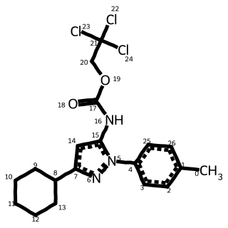 Cc1ccc(-n2nc(C3CCCCC3)cc2NC(=O)OCC(Cl)(Cl)Cl)cc1